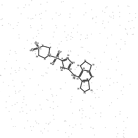 O=S1(=O)CCN(S(=O)(=O)c2nnc(Nc3c4c(cc5c3CCC5)CCC4)[nH]2)CC1